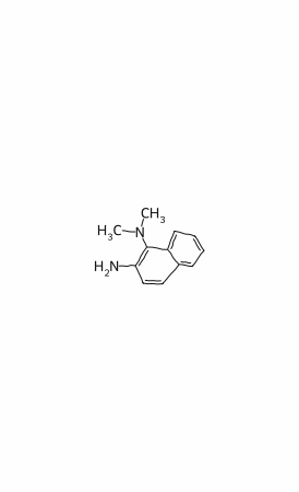 CN(C)c1c(N)ccc2ccccc12